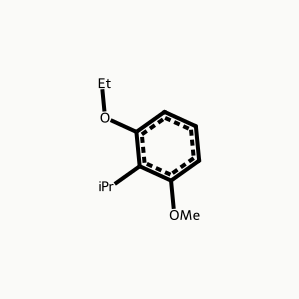 CCOc1cccc(OC)c1C(C)C